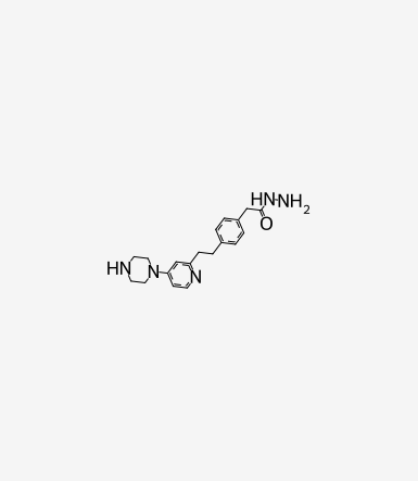 NNC(=O)Cc1ccc(CCc2cc(N3CCNCC3)ccn2)cc1